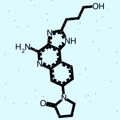 Nc1nc2cc(N3CCCC3=O)ccc2c2[nH]c(CCCO)nc12